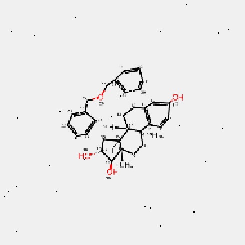 C[C@]12CC[C@@H]3c4ccc(O)cc4CC[C@H]3[C@@H]1C[C@@H](O)[C@@H]2O.c1ccc(COCc2ccccc2)cc1